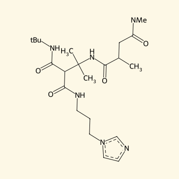 CNC(=O)CC(C)C(=O)NC(C)(C)C(C(=O)NCCCn1ccnc1)C(=O)NC(C)(C)C